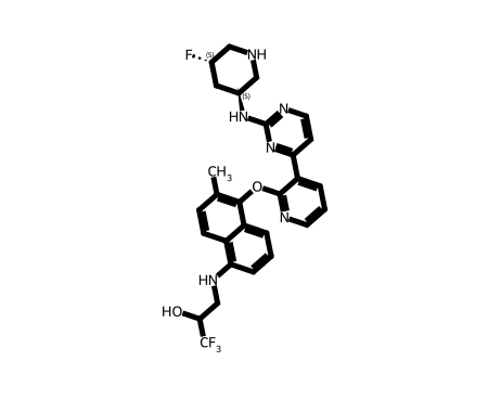 Cc1ccc2c(NCC(O)C(F)(F)F)cccc2c1Oc1ncccc1-c1ccnc(N[C@@H]2CNC[C@@H](F)C2)n1